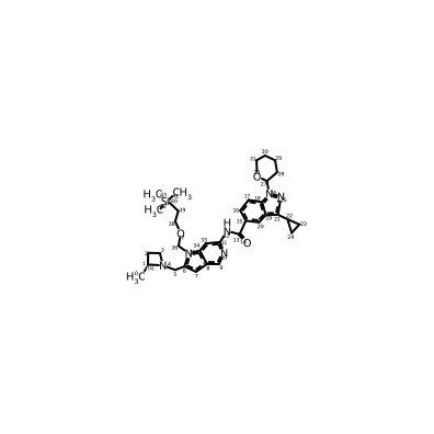 C[C@H]1CCN1Cc1cc2cnc(NC(=O)c3ccc4c(c3)c(C3CC3)nn4C3CCCCO3)cc2n1COCC[Si](C)(C)C